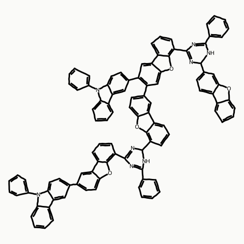 c1ccc(C2=NC(c3cccc4c3oc3cc(-c5ccc6oc7c(C8N=C(c9cccc%10c9oc9ccc(-c%11ccc%12c(c%11)c%11ccccc%11n%12-c%11ccccc%11)cc9%10)N=C(c9ccccc9)N8)cccc7c6c5)c(-c5ccc6c(c5)c5ccccc5n6-c5ccccc5)cc34)=NC(c3ccc4c(c3)oc3ccccc34)N2)cc1